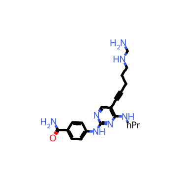 CCCNc1nc(Nc2ccc(C(N)=O)cc2)ncc1C#CCCCNCN